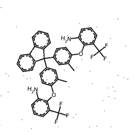 Cc1cc(C2(c3ccc(Oc4c(N)cccc4C(F)(F)F)c(C)c3)c3ccccc3-c3ccccc32)ccc1Oc1c(N)cccc1C(F)(F)F